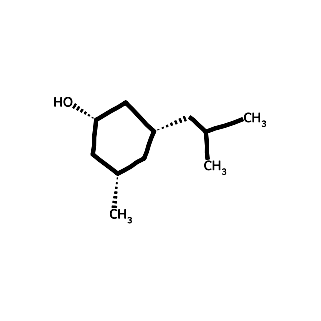 CC(C)C[C@@H]1C[C@H](C)C[C@H](O)C1